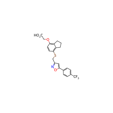 O=C(O)COc1ccc(SCc2cc(-c3ccc(C(F)(F)F)cc3)on2)c2c1CCC2